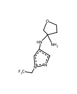 NC1(Nc2cnn(CC(F)(F)F)c2)CCOC1